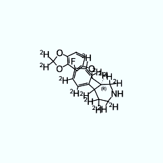 [2H]c1c([2H])c(C2([2H])C([2H])([2H])C([2H])([2H])NC([2H])([2H])[C@]2([2H])COc2ccc3c(c2)OC([2H])([2H])O3)c([2H])c([2H])c1F